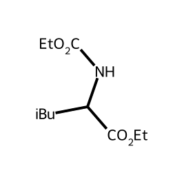 CCOC(=O)NC(C(=O)OCC)C(C)CC